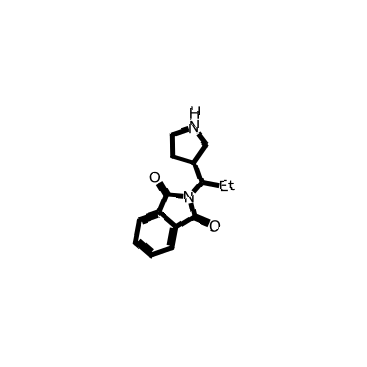 CCC(C1CCNC1)N1C(=O)c2ccccc2C1=O